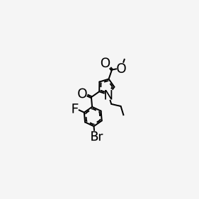 CCCn1cc(C(=O)OC)cc1C(=O)c1ccc(Br)cc1F